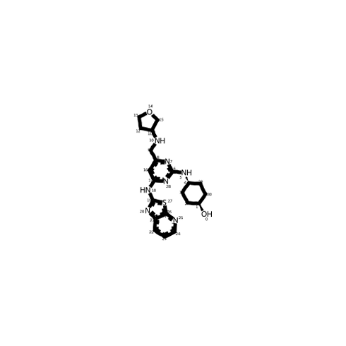 O[C@H]1CC[C@H](Nc2nc(CNC3CCOC3)cc(Nc3nc4cccnc4s3)n2)CC1